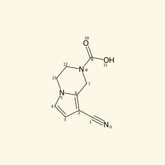 N#Cc1ccn2c1CN(C(=O)O)CC2